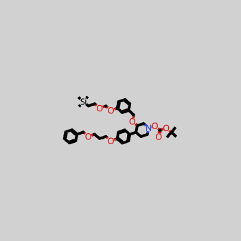 CC(C)(C)OC(=O)ON1CCC(c2ccc(OCCCOCc3ccccc3)cc2)C(OCc2cccc(OCOCC[Si](C)(C)C)c2)C1